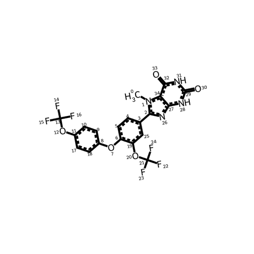 Cn1c(-c2ccc(Oc3ccc(OC(F)(F)F)cc3)c(OC(F)(F)F)c2)nc2[nH]c(=O)[nH]c(=O)c21